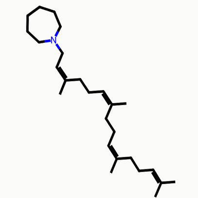 CC(C)=CCCC(C)=CCCC(C)=CCCC(C)=CCN1CCCCCC1